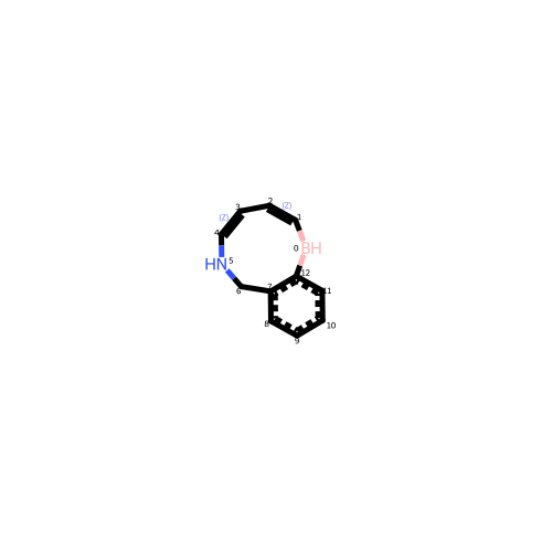 B1/C=C\C=C/NCc2ccccc21